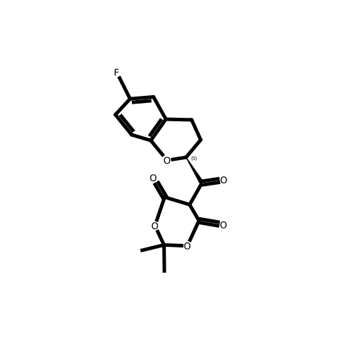 CC1(C)OC(=O)C(C(=O)[C@@H]2CCc3cc(F)ccc3O2)C(=O)O1